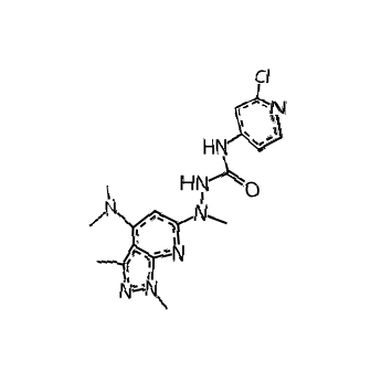 Cc1nn(C)c2nc(N(C)NC(=O)Nc3ccnc(Cl)c3)cc(N(C)C)c12